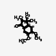 C=C1C(=O)c2cc(OC)c(OC)cc2C1(C)C